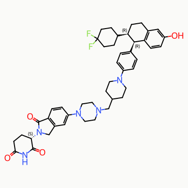 O=C1CC[C@H](N2Cc3cc(N4CCN(CC5CCN(c6ccc([C@@H]7c8ccc(O)cc8CC[C@@H]7C7CCC(F)(F)CC7)cc6)CC5)CC4)ccc3C2=O)C(=O)N1